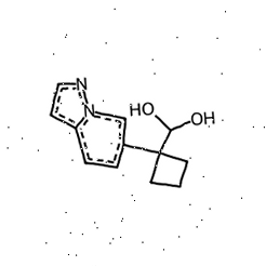 OC(O)C1(c2ccc3ccnn3c2)CCC1